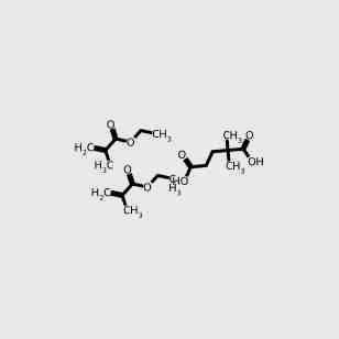 C=C(C)C(=O)OCC.C=C(C)C(=O)OCC.CC(C)(CCC(=O)O)C(=O)O